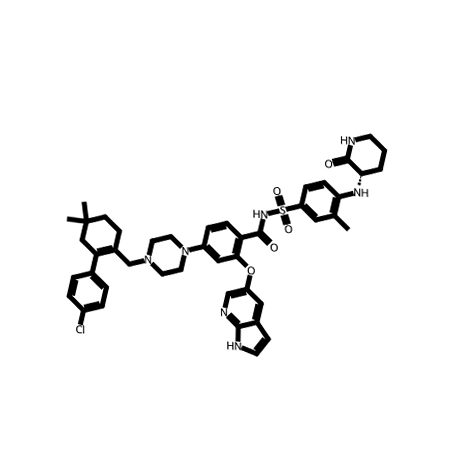 Cc1cc(S(=O)(=O)NC(=O)c2ccc(N3CCN(CC4=C(c5ccc(Cl)cc5)CC(C)(C)CC4)CC3)cc2Oc2cnc3[nH]ccc3c2)ccc1N[C@H]1CCCNC1=O